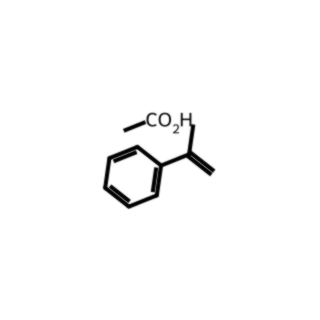 C=C(C)c1ccccc1.CC(=O)O